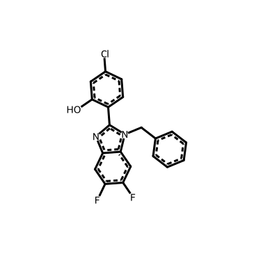 Oc1cc(Cl)ccc1-c1nc2cc(F)c(F)cc2n1Cc1ccccc1